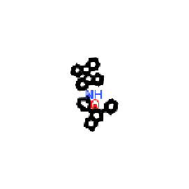 c1ccc(-c2cc3ccccc3c3c2oc2c(Nc4cccc5c4-c4ccccc4C54c5ccccc5-c5ccccc54)cccc23)cc1